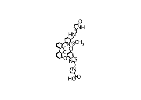 COc1nc(-c2cccc(-c3cccc(Oc4cc(Cl)cc5sc(CN6CCCC(C(=O)O)C6)nc45)c3Cl)c2Cl)ccc1CNC[C@H]1CCC(=O)N1